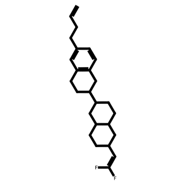 C=CCCc1ccc2c(c1)CCC(C1CCC3CC(C=C(F)F)CCC3C1)C2